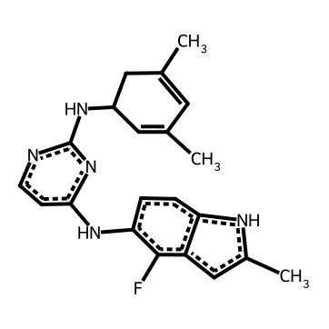 CC1=CC(Nc2nccc(Nc3ccc4[nH]c(C)cc4c3F)n2)CC(C)=C1